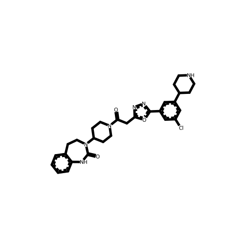 O=C(Cc1nnc(-c2cc(Cl)cc(C3CCNCC3)c2)o1)N1CCC(N2CCc3ccccc3NC2=O)CC1